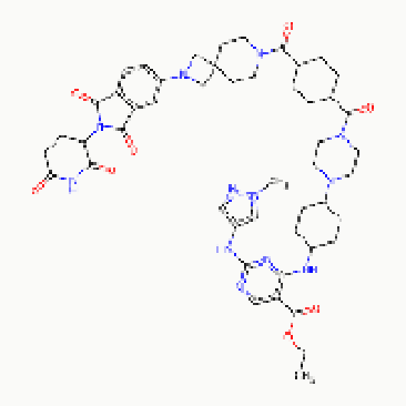 CCOC(=O)c1cnc(Nc2cnn(C)c2)nc1NC1CCC(N2CCN(C(=O)C3CCC(C(=O)N4CCC5(CC4)CN(c4ccc6c(c4)C(=O)N(C4CCC(=O)NC4=O)C6=O)C5)CC3)CC2)CC1